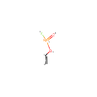 C=CO[PH](=O)F